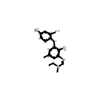 CCN(C)/C=N\c1cc(C)cc(Cc2ccc(Br)cc2F)c1Cl